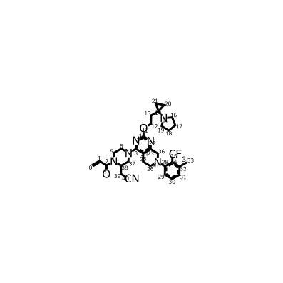 C=CC(=O)N1CCN(c2nc(OCCC3(N4CCCC4)CC3)nc3c2CCN(c2cccc(C)c2C(F)(F)F)C3)CC1CC#N